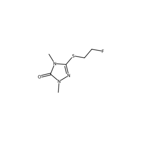 Cn1nc(SCCF)n(C)c1=O